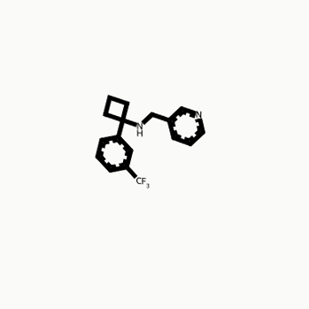 FC(F)(F)c1cccc(C2(NCc3cccnc3)CCC2)c1